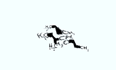 C=CC(=C)C.C=CC=C.C=CC=C